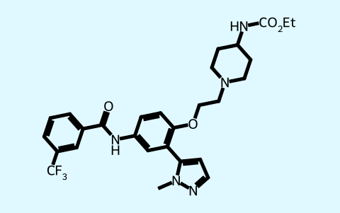 CCOC(=O)NC1CCN(CCOc2ccc(NC(=O)c3cccc(C(F)(F)F)c3)cc2-c2ccnn2C)CC1